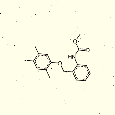 COC(=O)Nc1ccccc1COc1cc(C)c(C)cc1C